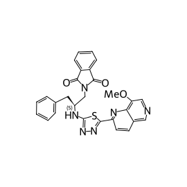 COc1cncc2ccc(-c3nnc(N[C@@H](Cc4ccccc4)CN4C(=O)c5ccccc5C4=O)s3)nc12